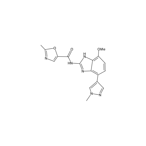 COc1ccc(-c2cnn(C)c2)c2nc(NC(=O)c3cnc(C)o3)[nH]c12